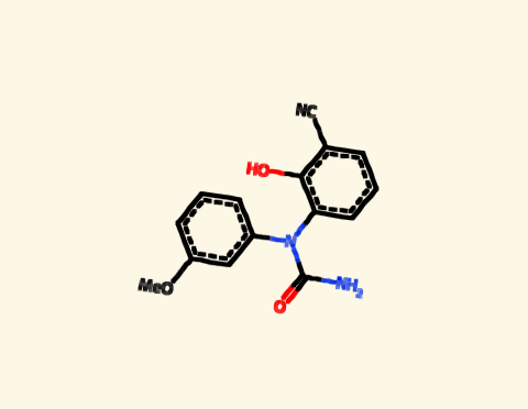 COc1cccc(N(C(N)=O)c2cccc(C#N)c2O)c1